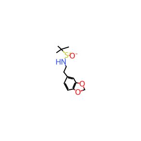 CC(C)(C)[S+]([O-])NCCc1ccc2c(c1)OCO2